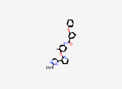 CNc1nccc(-c2cccnc2Oc2ccc(NC(=O)c3cccc(Oc4ccccc4)c3)cc2C)n1